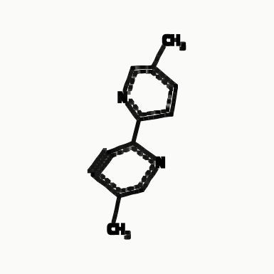 Cc1c#cc(-c2ccc(C)cn2)nc1